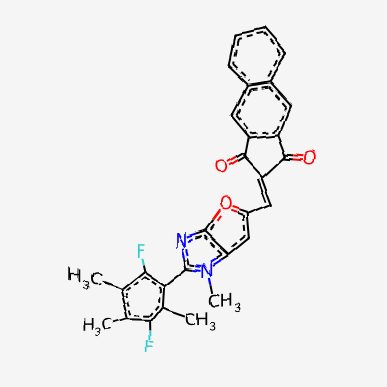 Cc1c(C)c(F)c(-c2nc3oc(C=C4C(=O)c5cc6ccccc6cc5C4=O)cc3n2C)c(C)c1F